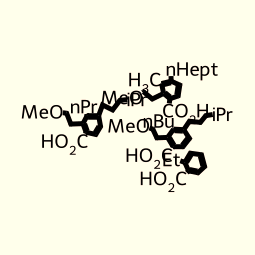 CCCCCCCc1ccc(C(=O)O)c(CCOC)c1C.CCCCc1c(CCCC(C)C)ccc(C(=O)O)c1CCOC.CCCc1c(CCCC(C)C)ccc(C(=O)O)c1CCOC.CCc1ccccc1C(=O)O